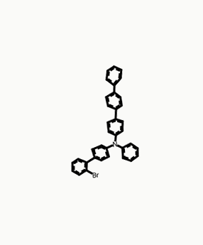 Brc1ccccc1-c1ccc(N(c2ccccc2)c2ccc(-c3ccc(-c4ccccc4)cc3)cc2)cc1